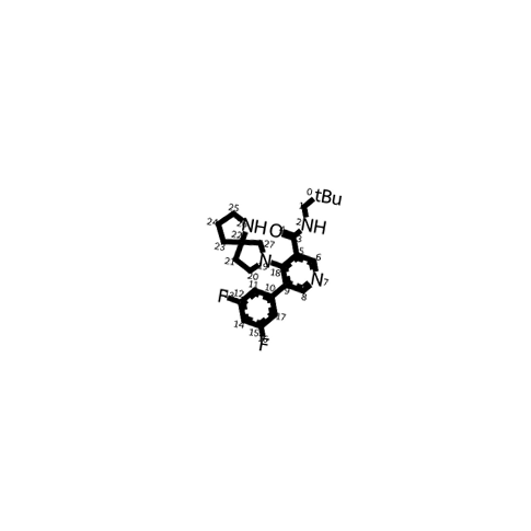 CC(C)(C)CNC(=O)c1cncc(-c2cc(F)cc(F)c2)c1N1CCC2(CCCN2)C1